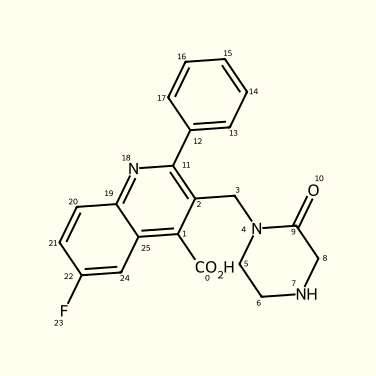 O=C(O)c1c(CN2CCNCC2=O)c(-c2ccccc2)nc2ccc(F)cc12